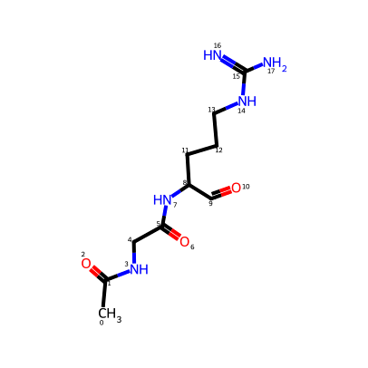 CC(=O)NCC(=O)NC([C]=O)CCCNC(=N)N